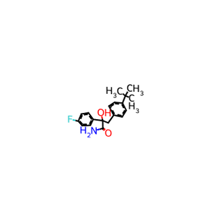 CC(C)(C)c1ccc(CC(O)(C(N)=O)c2ccc(F)cc2)cc1